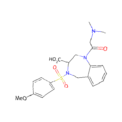 COc1ccc(S(=O)(=O)N2Cc3ccccc3N(C(=O)CN(C)C)CC2C(=O)O)cc1